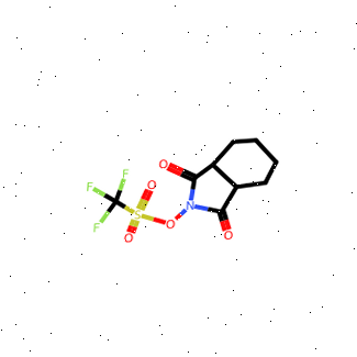 O=C1C2CCCCC2C(=O)N1OS(=O)(=O)C(F)(F)F